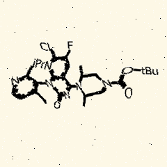 Cc1ccnc(C(C)C)c1-n1c(=O)nc(N2C(C)CN(C(=O)OC(C)(C)C)CC2C)c2cc(F)c(Cl)nc21